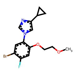 COCCOc1cc(F)c(Br)cc1-n1cnc(C2CC2)c1